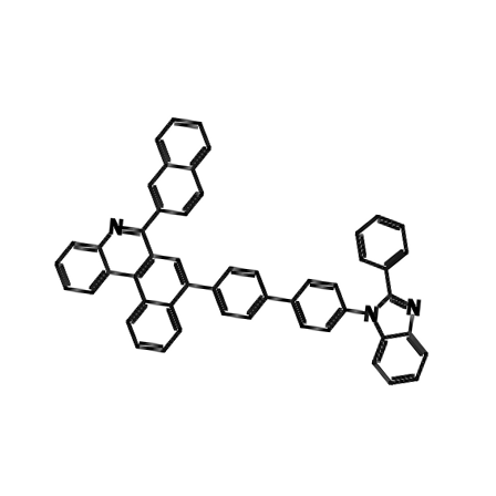 c1ccc(-c2nc3ccccc3n2-c2ccc(-c3ccc(-c4cc5c(-c6ccc7ccccc7c6)nc6ccccc6c5c5ccccc45)cc3)cc2)cc1